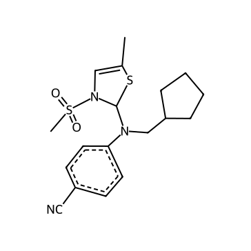 CC1=CN(S(C)(=O)=O)C(N(CC2CCCC2)c2ccc(C#N)cc2)S1